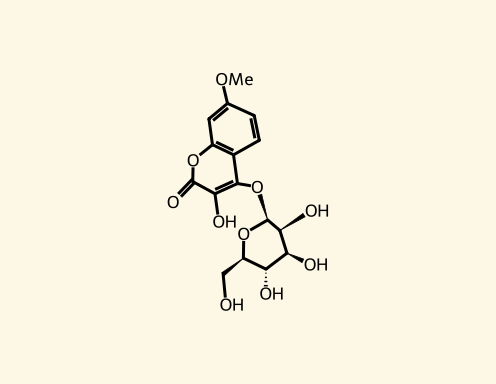 COc1ccc2c(O[C@@H]3O[C@H](CO)[C@@H](O)[C@H](O)[C@@H]3O)c(O)c(=O)oc2c1